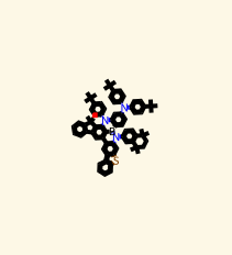 CC(C)(C)c1ccc(N(c2ccc(C(C)(C)C)cc2)c2ccc3c(c2)N(c2ccc(C(C)(C)C)cc2)c2c4c(cc5c2C(C)(C)c2ccccc2-5)-c2cc5c(cc2N(c2ccc6c(c2)C(C)(C)CCC6(C)C)B34)sc2ccccc25)cc1